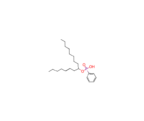 CCCCCCCCC(CCCCCCC)OP(=O)(O)c1ccccc1